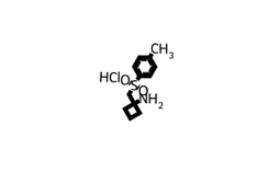 Cc1ccc(S(=O)(=O)CC2(N)CCC2)cc1.Cl